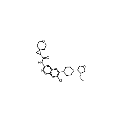 CO[C@H]1COC[C@H]1N1CCC(c2cc3cc(NC(=O)[C@H]4CC45CCOCC5)ncc3cc2Cl)CC1